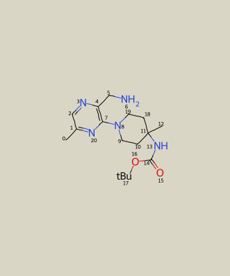 Cc1cnc(CN)c(N2CCC(C)(NC(=O)OC(C)(C)C)CC2)n1